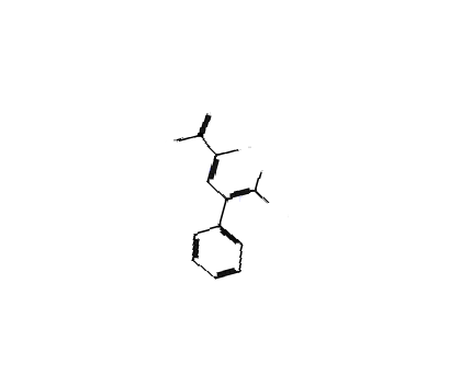 CC/C(C)=C(\C=C(/O)C(=O)Cl)c1ccccc1